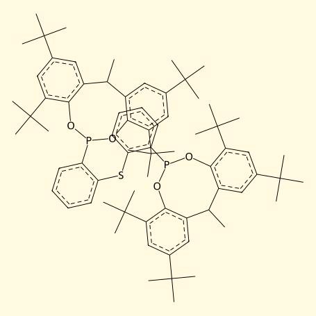 CC1c2cc(C(C)(C)C)cc(C(C)(C)C)c2OP(c2ccccc2Sc2ccccc2P2Oc3c(cc(C(C)(C)C)cc3C(C)(C)C)C(C)c3cc(C(C)(C)C)cc(C(C)(C)C)c3O2)Oc2c1cc(C(C)(C)C)cc2C(C)(C)C